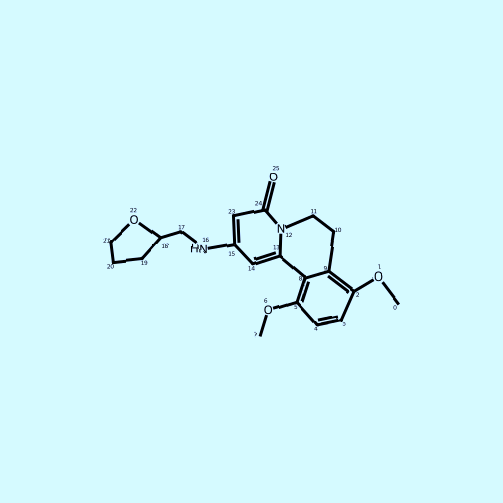 COc1ccc(OC)c2c1CCn1c-2cc(NCC2CCCO2)cc1=O